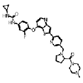 CN1CCN(C(=O)C2CCCN2Cc2ccc(-c3cc4nccc(Oc5ccc(NC(=O)NC6CC6)cc5F)c4s3)nc2)CC1